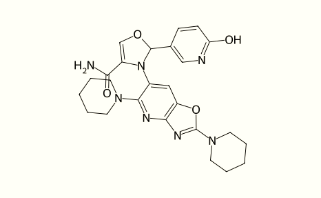 NC(=O)C1=COC(c2ccc(O)nc2)N1c1cc2oc(N3CCCCC3)nc2nc1N1CCCCC1